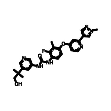 Cc1c(Oc2ccnc(-c3cnn(C)c3)c2)ccc(NC(=O)Nc2cncc(C(C)(C)CO)c2)c1F